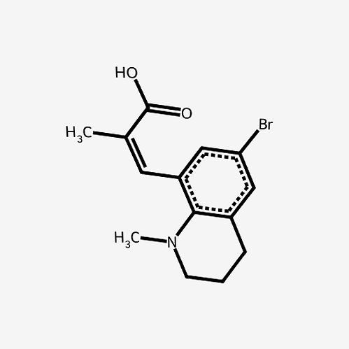 CC(=Cc1cc(Br)cc2c1N(C)CCC2)C(=O)O